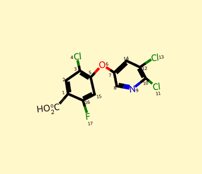 O=C(O)c1cc(Cl)c(Oc2cnc(Cl)c(Cl)c2)cc1F